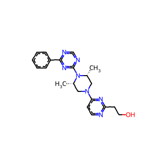 C[C@@H]1CN(c2ccnc(CCO)n2)C[C@H](C)N1c1ncnc(-c2ccccc2)n1